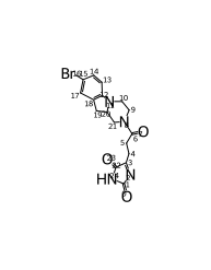 O=C1N=C(CCC(=O)N2CCN3c4ccc(Br)cc4CC3C2)C(=O)N1